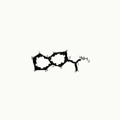 [CH2]C(N)c1ccc2ccccc2c1